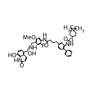 COc1cc(NC(=O)CCCc2ccc(-c3ccccc3)c(NC(=O)OC3CC[N+](C)(C)CC3)c2)c(F)cc1CNC[C@@H](O)c1ccc(O)c2[nH]c(=O)ccc12